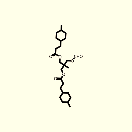 CC1CCC(CCC(=O)OCC(C)(COC=O)COC(=O)CCC2CCC(C)CC2)CC1